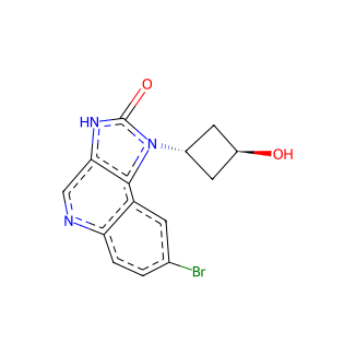 O=c1[nH]c2cnc3ccc(Br)cc3c2n1[C@H]1C[C@H](O)C1